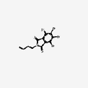 CCCCN1C(=O)c2c(Br)c(Br)c(Br)c(Br)c2C1=O